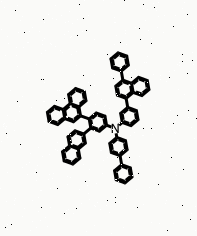 c1ccc(-c2ccc(N(c3cccc(-c4ccc(-c5ccccc5)c5ccccc45)c3)c3ccc(-c4cc5ccccc5c5ccccc45)c(-c4ccc5ccccc5c4)c3)cc2)cc1